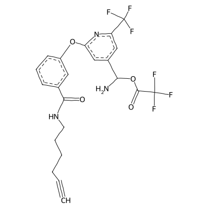 C#CCCCCNC(=O)c1cccc(Oc2cc(C(N)OC(=O)C(F)(F)F)cc(C(F)(F)F)n2)c1